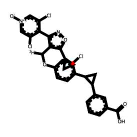 [2H]C(Oc1ccc(C2CC2c2cccc(C(=O)O)c2)c(Cl)c1)c1c(-c2c(Cl)c[n+]([O-])cc2Cl)noc1C1CC1